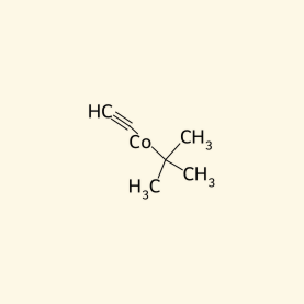 C#[C][Co][C](C)(C)C